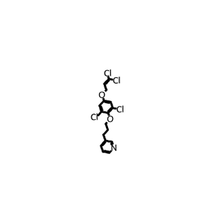 ClC(Cl)=CCOc1cc(Cl)c(OCCCc2cccnc2)c(Cl)c1